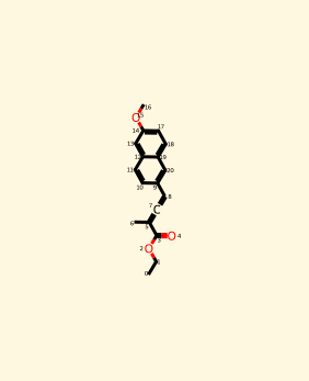 CCOC(=O)C(C)=C=Cc1ccc2cc(OC)ccc2c1